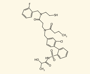 CCCC(=O)N(CCC(=O)N(CCS)Cc1ccccc1F)Cc1ccc(-c2ccccc2S(=O)(=O)NC(=O)C(C)O)c(Cl)c1